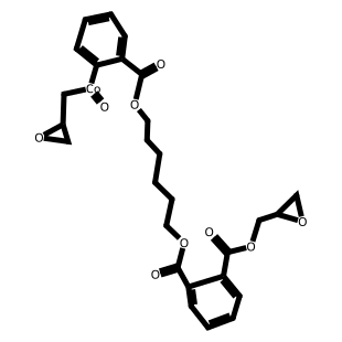 O=C(OCCCCCCOC(=O)c1cccc[c]1[Co](=[O])[CH2]C1CO1)c1ccccc1C(=O)OCC1CO1